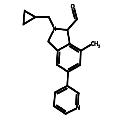 Cc1cc(-c2cccnc2)cc2c1C(C=O)N(CC1CC1)C2